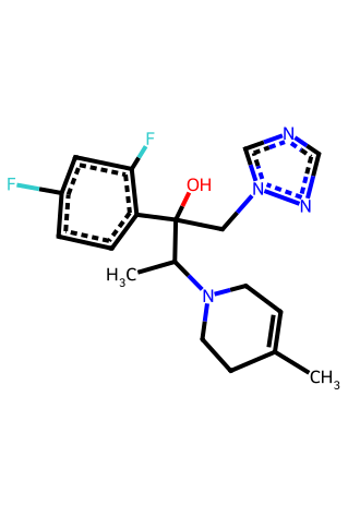 CC1=CCN(C(C)C(O)(Cn2cncn2)c2ccc(F)cc2F)CC1